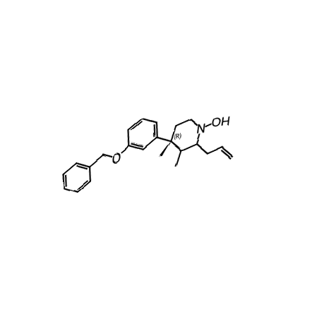 C=CCC1C(C)[C@](C)(c2cccc(OCc3ccccc3)c2)CCN1O